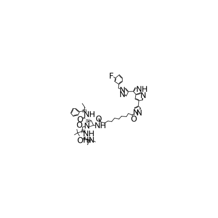 CC[C@@H](NC(=O)[C@@H]1CC(NC(=O)CCCCCCCCC(=O)n2cc(-c3cnc4[nH]cc(-c5cnn(Cc6cccc(F)c6)c5)c4c3)cn2)CN1C(=O)[C@@H](NC(=O)[C@H](C)NC)C(C)(C)C)c1ccccc1